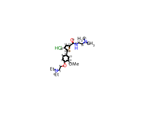 CCN(CC)CCOc1ccc(-c2ccc(C(=O)NCCN(C)C)s2)cc1OC.Cl